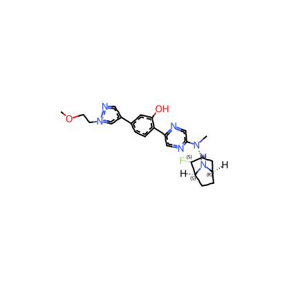 COCCn1cc(-c2ccc(-c3cnc(N(C)[C@@H]4C[C@H]5CC[C@H](N5)[C@@H]4F)cn3)c(O)c2)cn1